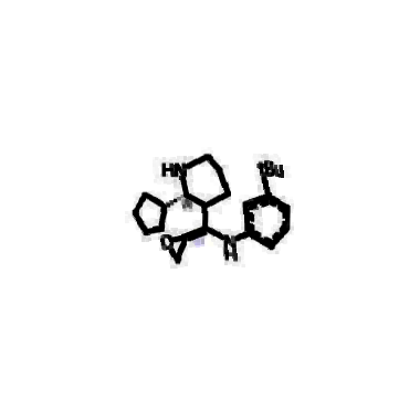 CC(C)(C)c1cccc(N/C(=C2\CO2)C2CCCN[C@H]2C2CCCC2)c1